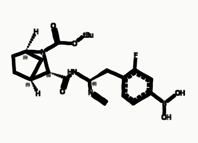 C=N[C@H](Cc1ccc(B(O)O)cc1F)NC(=O)[C@@H]1[C@H]2CC[C@H](C2)N1C(=O)OC(C)(C)C